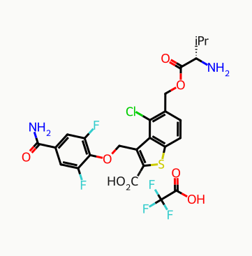 CC(C)[C@H](N)C(=O)OCc1ccc2sc(C(=O)O)c(COc3c(F)cc(C(N)=O)cc3F)c2c1Cl.O=C(O)C(F)(F)F